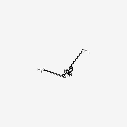 CCCCCCCCCCCCc1csc(-c2ncc(-c3cc(CCCCCCCCCCCC)cs3)c3snnc23)c1